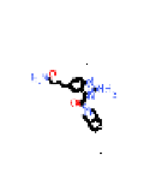 NC(=O)CCCc1ccc2nc(N)nc(C(=O)N3Cc4ccccc4C3)c2c1